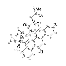 CNC(=O)C[C@H]1O[C@H](c2cccc(Cl)c2)[C@@H](c2ccc(Cl)cc2)N([C@H](CN(c2ccccc2F)S(=O)(=O)C2CC2)C2CC2)C1=O